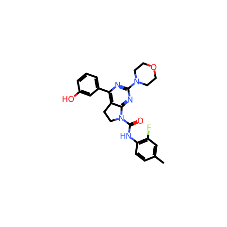 Cc1ccc(NC(=O)N2CCc3c(-c4cccc(O)c4)nc(N4CCOCC4)nc32)c(F)c1